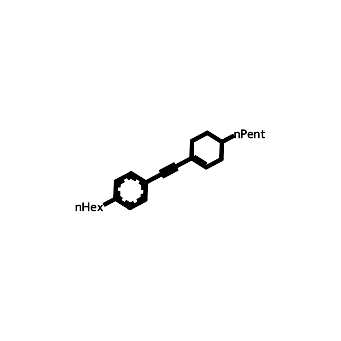 CCCCCCc1ccc(C#CC2=CCC(CCCCC)CC2)cc1